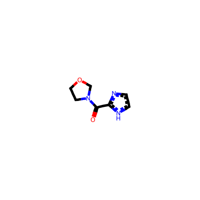 O=C(c1ncc[nH]1)N1CCOC1